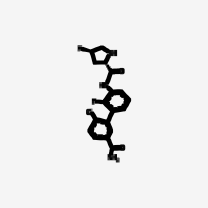 NC(=O)c1ccc(Cl)c(-c2cccc(NC(=O)[C@@H]3C[C@@H](F)CN3)c2F)c1